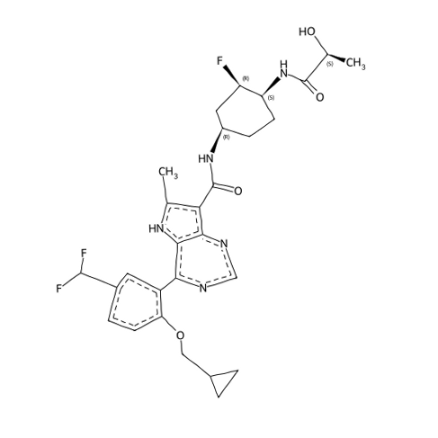 Cc1[nH]c2c(-c3cc(C(F)F)ccc3OCC3CC3)ncnc2c1C(=O)N[C@@H]1CC[C@H](NC(=O)[C@H](C)O)[C@H](F)C1